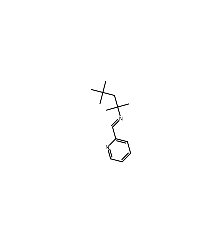 [CH2]C(C)(CC(C)(C)C)N=Cc1ccccn1